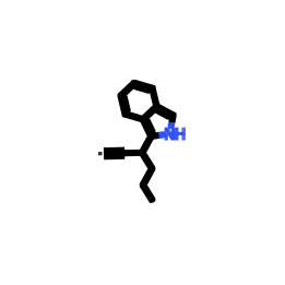 [C]#CC(CCC)c1[nH]cc2ccccc12